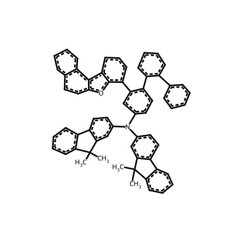 CC1(C)c2ccccc2-c2ccc(N(c3ccc(-c4ccccc4-c4ccccc4)c(-c4cccc5c4oc4ccc6ccccc6c45)c3)c3ccc4c(c3)C(C)(C)c3ccccc3-4)cc21